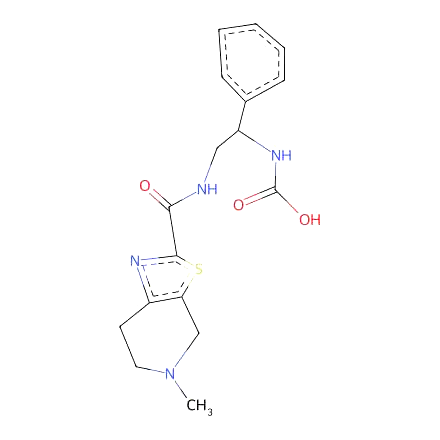 CN1CCc2nc(C(=O)NCC(NC(=O)O)c3ccccc3)sc2C1